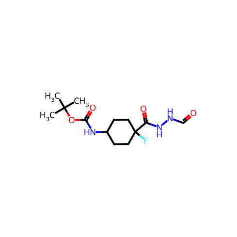 CC(C)(C)OC(=O)NC1CCC(F)(C(=O)NNC=O)CC1